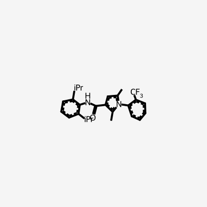 Cc1cc(C(=O)Nc2c(C(C)C)cccc2C(C)C)c(C)n1-c1ccccc1C(F)(F)F